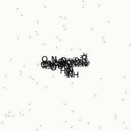 CC(C)c1ccccc1[C@@H]1CCCN1C1CC2(CCN(c3ccc(C(=O)NS(=O)(=O)c4cc5c(c([N+](=O)[O-])c4)N[C@@H](C4CCOCC4)CO5)c(Oc4cc5cc[nH]c5nc4F)c3)CC2)C1